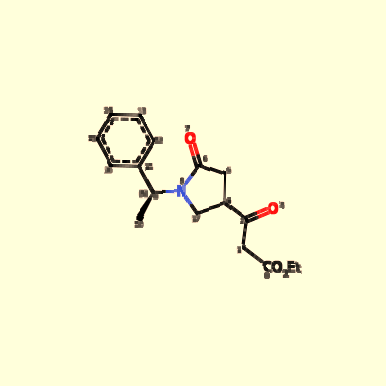 CCOC(=O)CC(=O)C1CC(=O)N([C@@H](C)c2ccccc2)C1